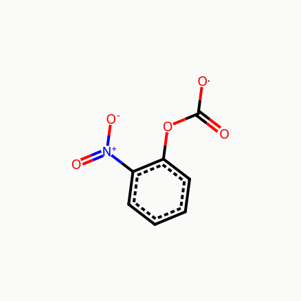 [O]C(=O)Oc1ccccc1[N+](=O)[O-]